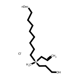 C=CC[N+](C)(CCCO)CCCCCCCCCCCCCCCCCC.[Cl-]